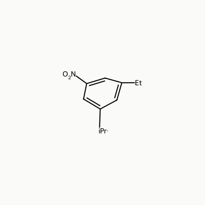 CCc1cc([C](C)C)cc([N+](=O)[O-])c1